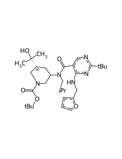 CC(C)CN(C(=O)c1cnc(C(C)(C)C)nc1NCc1ccco1)C1C[C@@H](C(C)(C)O)CN(C(=O)OC(C)(C)C)C1